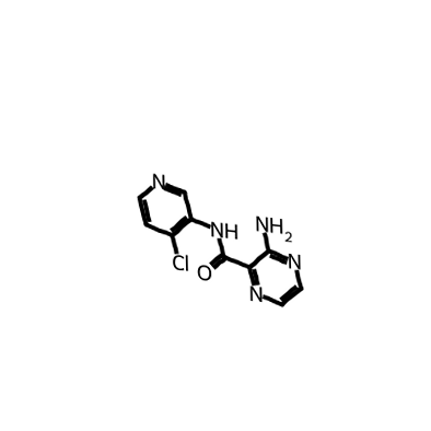 Nc1nccnc1C(=O)Nc1cnccc1Cl